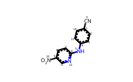 N#Cc1ccc(Nc2ccc([N+](=O)[O-])cn2)cc1